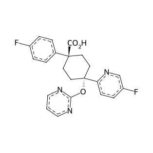 O=C(O)[C@]1(c2ccc(F)cc2)CC[C@](Oc2ncccn2)(c2ccc(F)cn2)CC1